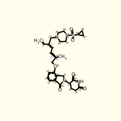 C=C/C(=C\C=C(/C)COc1cccc2c1CN(C1CCC(=O)NC1=O)C2=O)CN1CCN(S(=O)(=O)C2CC2)CC1